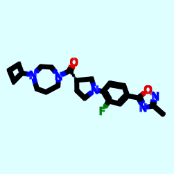 Cc1noc(-c2ccc(N3CC[C@H](C(=O)N4CCCN(C5CCC5)CC4)C3)c(F)c2)n1